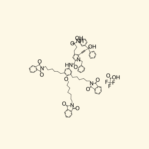 O=C(CCc1cc(C(=O)Nc2cc(CCCCCCN3C(=O)c4ccccc4C3=O)c(OCCCCCCCN3C(=O)c4ccccc4C3=O)c(CCCCCCN3C(=O)c4ccccc4C3=O)c2)n(Cc2ccccc2)c1C#CC(O)(c1ccccc1)c1ccccc1)NO.O=C(O)C(F)(F)F